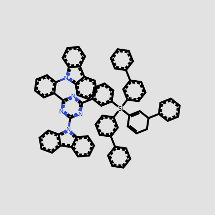 C1=CC([Si](c2cccc(-c3ccccc3)c2)(c2cccc(-c3ccccc3)c2)c2cccc(-c3nc(-c4ccccc4-n4c5ccccc5c5ccccc54)nc(-n4c5ccccc5c5ccccc54)n3)c2)=CC(c2ccccc2)C1